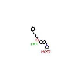 Cl.O=C(O)C1CCN(Cc2ccc3cc(OCCCCc4ccccc4)ccc3c2)CC1